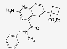 CCOC(=O)C1(c2ccc3nc(N)nc(C(=O)N(C)Cc4ccccc4)c3c2)CCC1